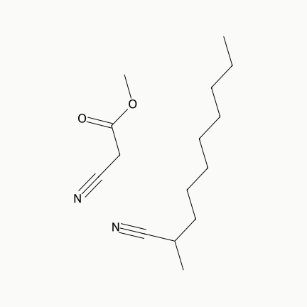 CCCCCCCCC(C)C#N.COC(=O)CC#N